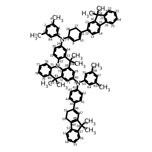 Cc1cc(C)cc(N(C2=CC=C(c3ccc4c(c3)C(C)(C)c3ccccc3-4)CC2)c2ccc3c(c2)C(C)(C)c2cc(N(c4ccc(C5=CC6=C(CC5)c5ccccc5C6(C)C)cc4)c4cc(C)cc(C)c4)cc4c2N3c2ccccc2C4(C)C)c1